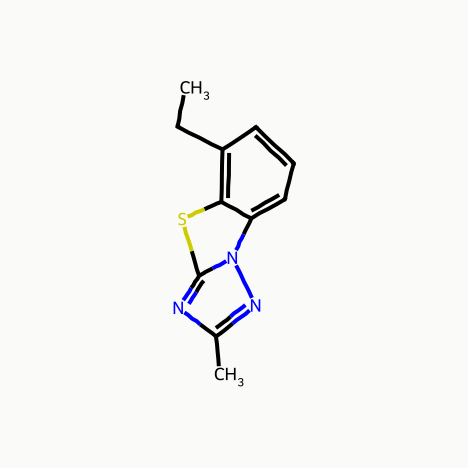 CCc1cccc2c1sc1nc(C)nn12